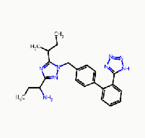 CCC(C)c1nc(C(N)CC)nn1Cc1ccc(-c2ccccc2-c2nnn[nH]2)cc1